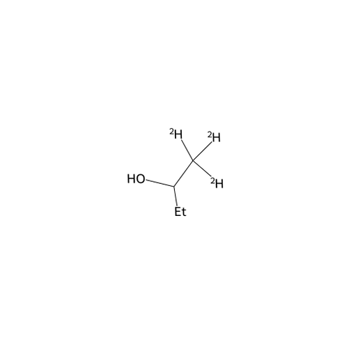 [2H]C([2H])([2H])C(O)CC